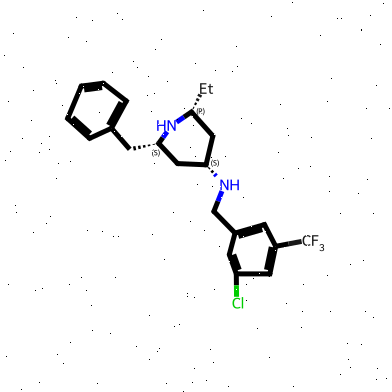 CC[C@@H]1C[C@H](NCc2cc(Cl)cc(C(F)(F)F)c2)C[C@H](Cc2ccccc2)N1